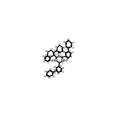 CC(NC(NC(=N)c1cccc(-c2ccccc2)c1)C1=C(C2=CC=CCC2)CCc2ccccc21)c1cccc(-c2ccccc2)c1